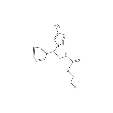 O=C(NCC(c1ccccc1)n1cc([N+](=O)[O-])cn1)OCCF